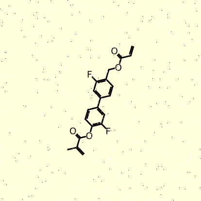 C=CC(=O)OCc1ccc(-c2ccc(OC(=O)C(=C)C)c(F)c2)cc1F